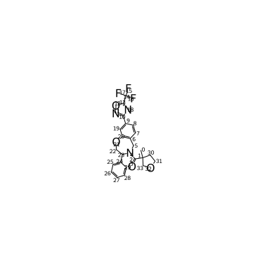 CC1(C(=O)N2Cc3ccc(-c4noc(C(F)(F)F)n4)cc3OCC2c2ccccc2)CCOC1